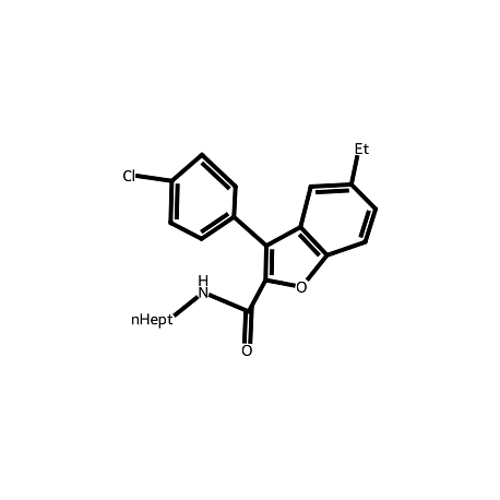 CCCCCCCNC(=O)c1oc2ccc(CC)cc2c1-c1ccc(Cl)cc1